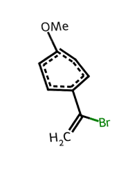 C=C(Br)c1ccc(OC)cc1